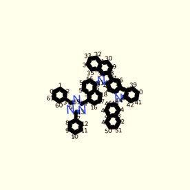 c1ccc(-c2nc(-c3ccccc3)nc(-c3cccc4c(-n5c6cc7c(cc6c6ccc8ccccc8c65)c5ccccc5n7-c5ccc6ccccc6c5)cccc34)n2)cc1